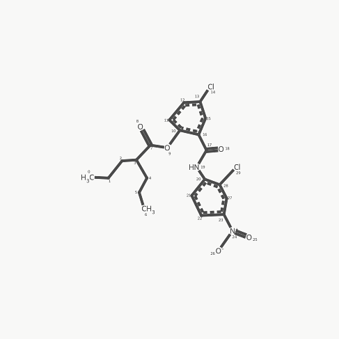 CCCC(CCC)C(=O)Oc1ccc(Cl)cc1C(=O)Nc1ccc([N+](=O)[O-])cc1Cl